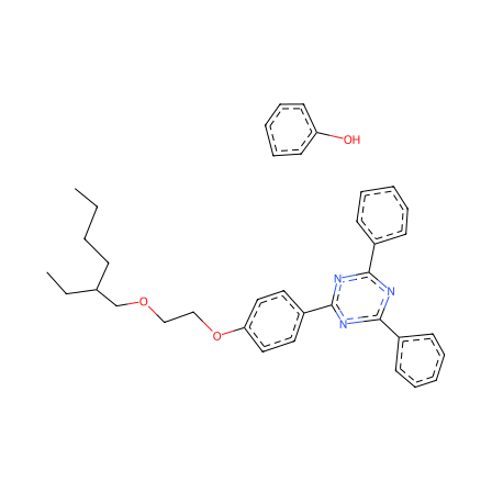 CCCCC(CC)COCCOc1ccc(-c2nc(-c3ccccc3)nc(-c3ccccc3)n2)cc1.Oc1ccccc1